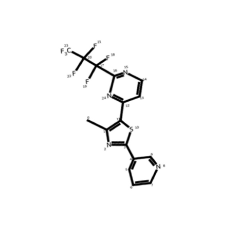 Cc1nc(-c2cccnc2)sc1-c1ccnc(C(F)(F)C(F)(F)C(F)(F)F)n1